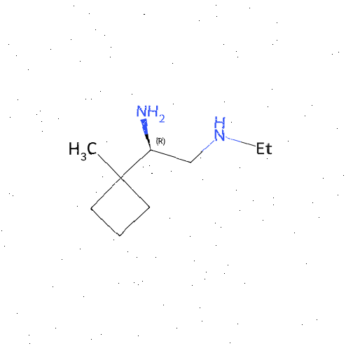 CCNC[C@H](N)C1(C)CCC1